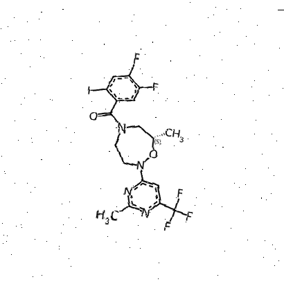 Cc1nc(N2CCN(C(=O)c3cc(F)c(F)cc3I)C[C@H](C)O2)cc(C(F)(F)F)n1